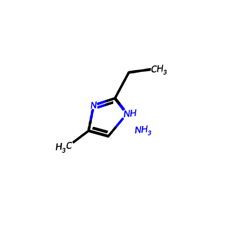 CCc1nc(C)c[nH]1.N